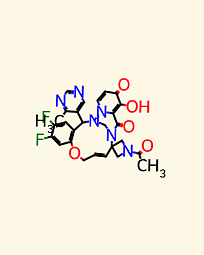 CC(=O)N1CC2(/C=C/COc3cc(F)c(F)cc3C(c3cncnc3C)N3CN2C(=O)c2c(O)c(=O)ccn23)C1